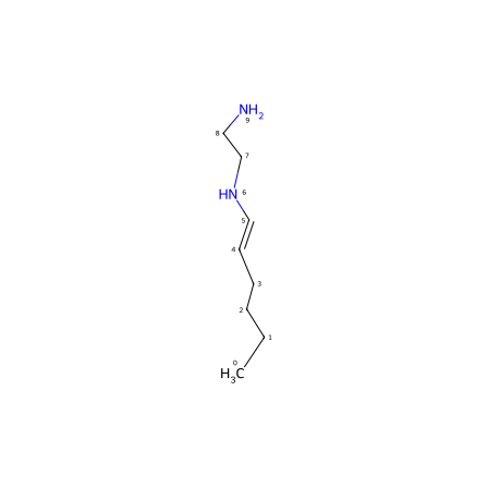 CCCC/C=C/NCCN